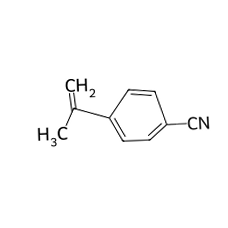 C=C(C)c1ccc(C#N)cc1